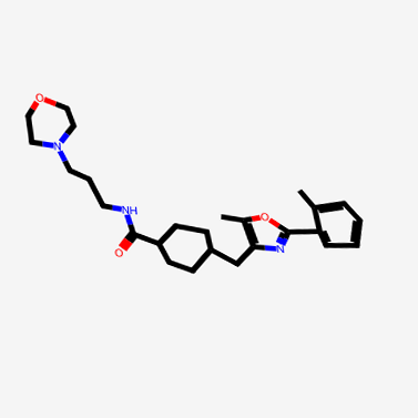 Cc1ccccc1-c1nc(CC2CCC(C(=O)NCCCN3CCOCC3)CC2)c(C)o1